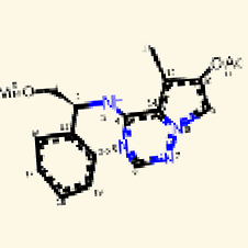 COC[C@@H](Nc1ncnn2cc(OC(C)=O)c(C)c12)c1ccccc1